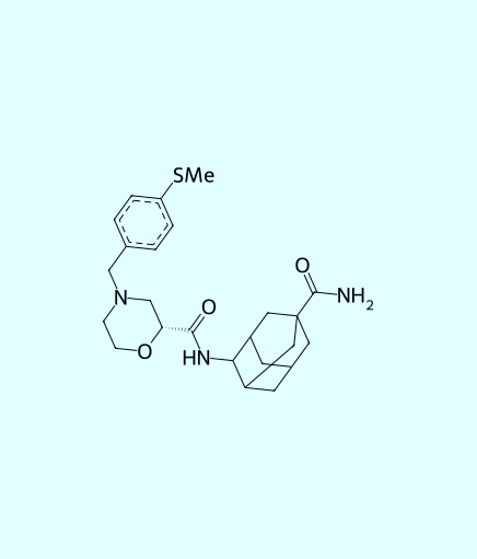 CSc1ccc(CN2CCO[C@@H](C(=O)NC3C4CC5CC3CC(C(N)=O)(C5)C4)C2)cc1